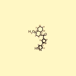 CN1CCN(C(=O)c2csc(-c3cn[nH]c3)c2)C2CCCCC21